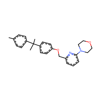 Cc1ccc(C(C)(C)c2ccc(OCc3cccc(N4CCOCC4)n3)cc2)cc1